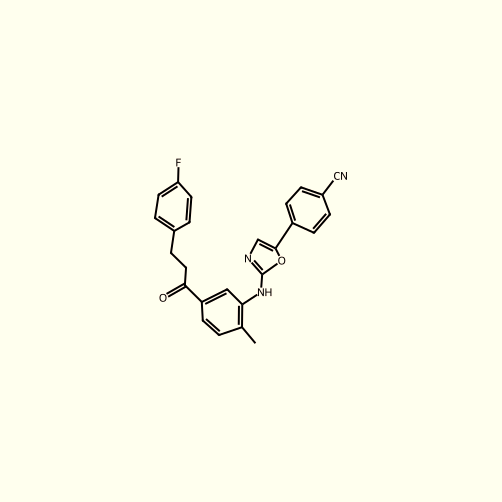 Cc1ccc(C(=O)CCc2ccc(F)cc2)cc1Nc1ncc(-c2ccc(C#N)cc2)o1